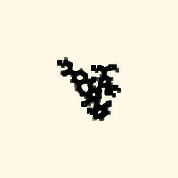 C=CC(=O)N1CCN2C(=O)c3c(N4CC(N(C)C)CC4(C)C)nc(-c4c(F)cccc4Cl)c(Cl)c3OCC2C1